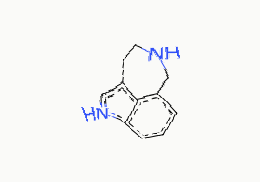 c1cc2c3c(c[nH]c3c1)CCNC2